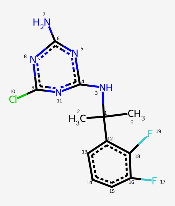 CC(C)(Nc1nc(N)nc(Cl)n1)c1cccc(F)c1F